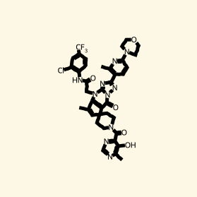 CC1=CC2(CCN(C(=O)c3ncnc(C)c3O)CC2)c2c1n(CC(=O)Nc1ccc(C(F)(F)F)cc1Cl)c1nc(-c3ccc(N4CCOCC4)nc3C)nn1c2=O